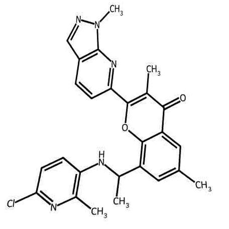 Cc1cc(C(C)Nc2ccc(Cl)nc2C)c2oc(-c3ccc4cnn(C)c4n3)c(C)c(=O)c2c1